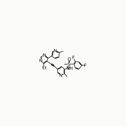 CCc1ncnc(-c2ccc(C)nc2)c1C#Cc1cnc(C)c(N[SH](C)(=O)c2ccc(F)cc2F)c1